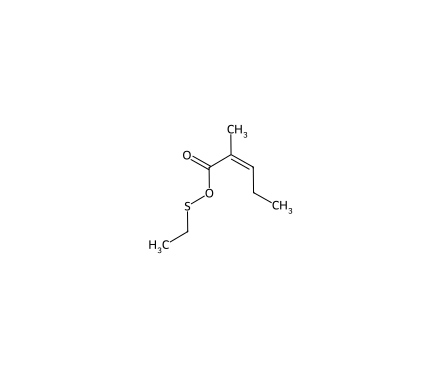 CCC=C(C)C(=O)OSCC